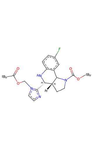 CC(C)(C)OC(=O)N1CC[C@H]2C1c1cc(F)ccc1N[C@H]2c1nccn1COC(=O)C(C)(C)C